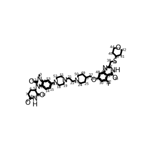 Cn1c(=O)n(C2CCC(=O)NC2=O)c2ccc(N3CCN(CCN4CCC(COc5cc(F)c6c(=O)[nH]c(CSC7CCOCC7)nc6c5)CC4)CC3)cc21